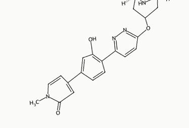 Cn1ccc(-c2ccc(-c3ccc(OC4C[C@H]5CC[C@@H](C4)N5)nn3)c(O)c2)cc1=O